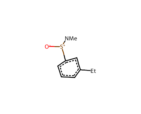 CCc1cccc([S+]([O-])NC)c1